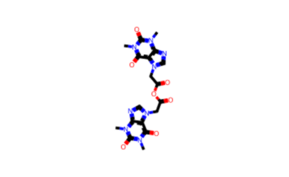 Cn1c(=O)c2c(ncn2CC(=O)OC(=O)Cn2cnc3c2c(=O)n(C)c(=O)n3C)n(C)c1=O